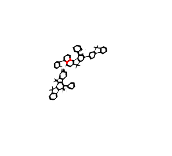 CC1(C)c2ccccc2-c2ccc(-c3cc4c(c5c3oc3ccccc35)-c3ccc(N(c5ccc6c(c5)C(C)(C)c5c7c(c8oc9ccccc9c8c5-6)-c5ccccc5C7(C)C)c5ccccc5-c5ccccc5)cc3C4(C)C)cc21